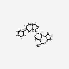 O=C(O)c1ccc(-n2ccc3ncc(-c4ccccc4)nc32)cc1C1CCCC1